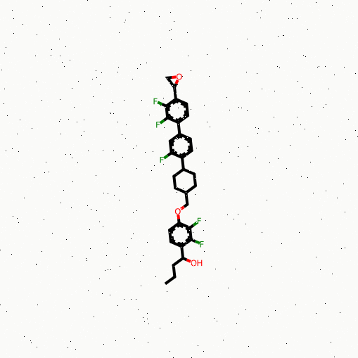 CCCC(O)c1ccc(OCC2CCC(c3ccc(-c4ccc(C5CO5)c(F)c4F)cc3F)CC2)c(F)c1F